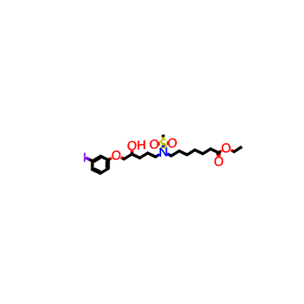 CCOC(=O)CCCCCCN(CCCC(O)COc1cccc(I)c1)S(C)(=O)=O